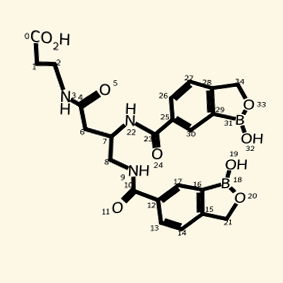 O=C(O)CCNC(=O)CC(CNC(=O)c1ccc2c(c1)B(O)OC2)NC(=O)c1ccc2c(c1)B(O)OC2